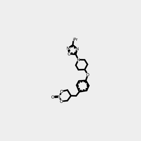 CC(C)c1noc(N2CCC(Oc3ccc(CC4COS(=O)OC4)cc3)CC2)n1